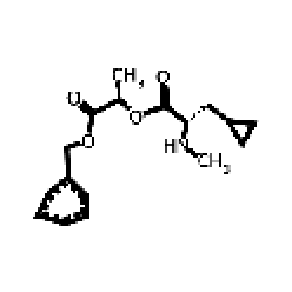 CN[C@@H](CC1CC1)C(=O)O[C@H](C)C(=O)OCc1ccccc1